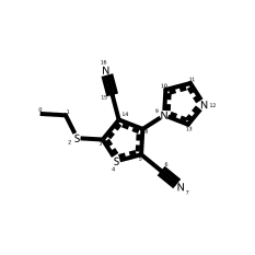 CCSc1sc(C#N)c(-n2ccnc2)c1C#N